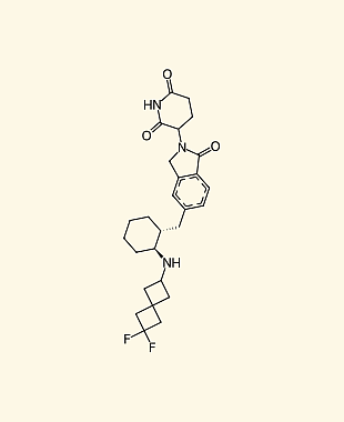 O=C1CCC(N2Cc3cc(C[C@H]4CCCC[C@@H]4NC4CC5(C4)CC(F)(F)C5)ccc3C2=O)C(=O)N1